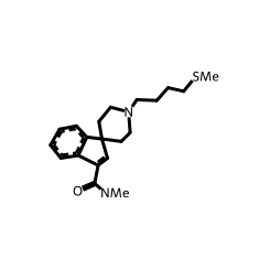 CNC(=O)C1=CC2(CCN(CCCCSC)CC2)c2ccccc21